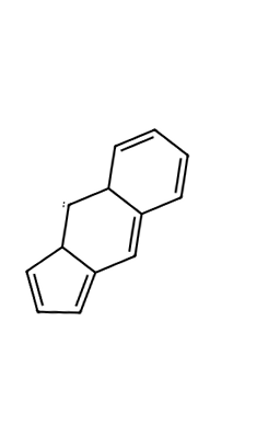 [C]1C2C=CC=C2C=C2C=CC=CC12